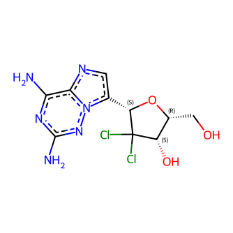 Nc1nc(N)c2ncc([C@@H]3O[C@H](CO)[C@H](O)C3(Cl)Cl)n2n1